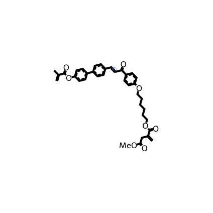 C=C(C)C(=O)Oc1ccc(-c2ccc(/C=C/C(=O)c3ccc(OCCCCCCOC(=O)C(=C)CC(=O)OC)cc3)cc2)cc1